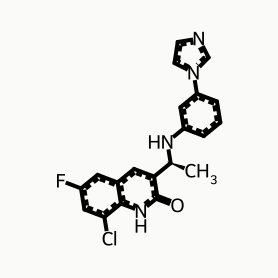 C[C@H](Nc1cccc(-n2ccnc2)c1)c1cc2cc(F)cc(Cl)c2[nH]c1=O